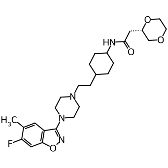 Cc1cc2c(N3CCN(CCC4CCC(NC(=O)C[C@H]5COCCO5)CC4)CC3)noc2cc1F